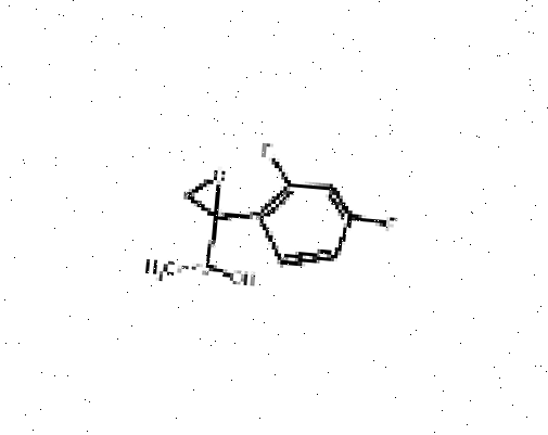 C[C@@H](O)C1(c2ccc(F)cc2F)CO1